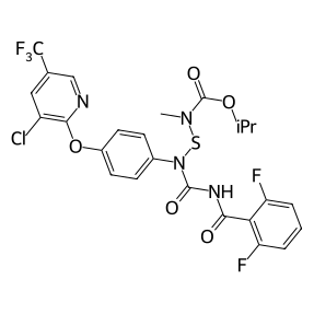 CC(C)OC(=O)N(C)SN(C(=O)NC(=O)c1c(F)cccc1F)c1ccc(Oc2ncc(C(F)(F)F)cc2Cl)cc1